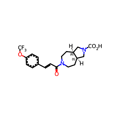 O=C(O)N1C[C@H]2CCN(C(=O)C=Cc3ccc(OC(F)(F)F)cc3)CC[C@H]2C1